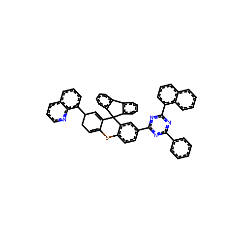 C1=C2Sc3ccc(-c4nc(-c5ccccc5)nc(-c5cccc6ccccc56)n4)cc3C3(C2=CC(c2cccc4cccnc24)C1)c1ccccc1-c1ccccc13